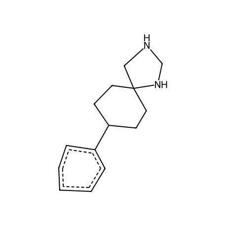 c1ccc(C2CCC3(CC2)CNCN3)cc1